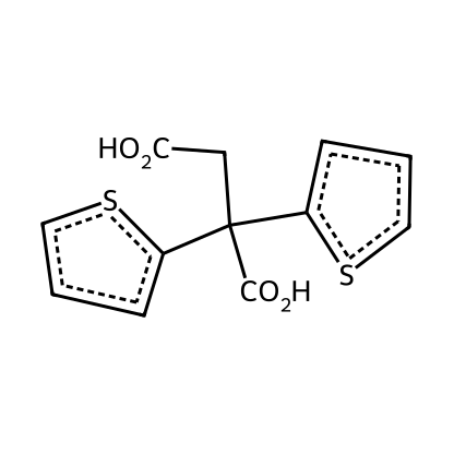 O=C(O)CC(C(=O)O)(c1cccs1)c1cccs1